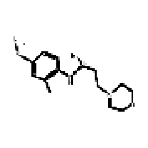 CC[C@@H](CCN1CCOCC1)Nc1ccc(SN)cc1C